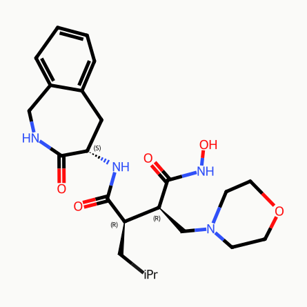 CC(C)C[C@@H](C(=O)N[C@H]1Cc2ccccc2CNC1=O)[C@H](CN1CCOCC1)C(=O)NO